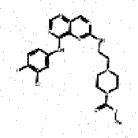 CC(C)(C)OC(=O)N1CCN(CCNc2ncc3ncnc(Nc4ccc(F)c(Cl)c4)c3n2)CC1